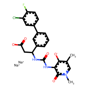 Cc1cn(C)c(=O)c(NC(=O)NC(CC(=O)[O-])c2cccc(-c3ccc(F)c(Cl)c3)c2)c1[O-].[Na+].[Na+]